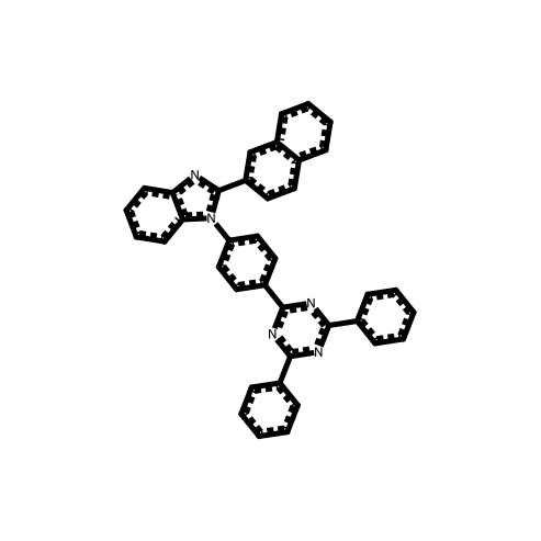 c1ccc(-c2nc(-c3ccccc3)nc(-c3ccc(-n4c(-c5ccc6ccccc6c5)nc5ccccc54)cc3)n2)cc1